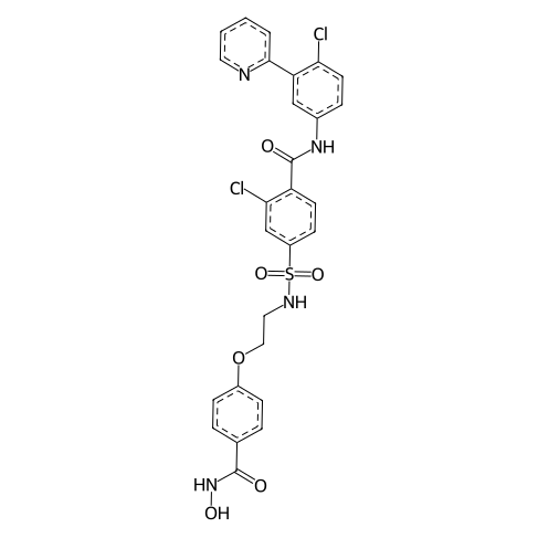 O=C(NO)c1ccc(OCCNS(=O)(=O)c2ccc(C(=O)Nc3ccc(Cl)c(-c4ccccn4)c3)c(Cl)c2)cc1